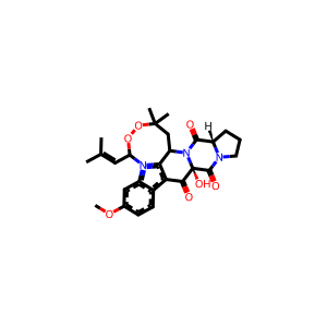 COc1ccc2c3c4n(c2c1)C(C=C(C)C)OOC(C)(C)CC4N1C(=O)[C@@H]2CCCN2C(=O)[C@]1(O)C3=O